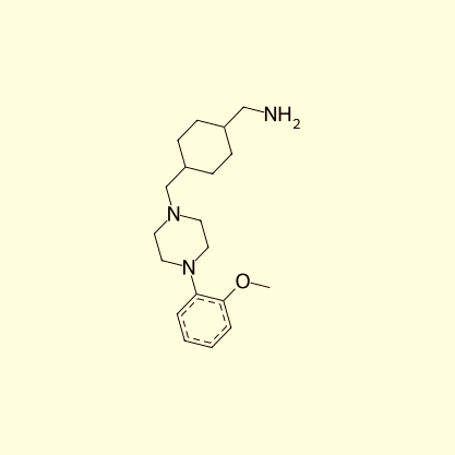 COc1ccccc1N1CCN(CC2CCC(CN)CC2)CC1